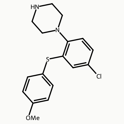 COc1ccc(Sc2cc(Cl)ccc2N2CCNCC2)cc1